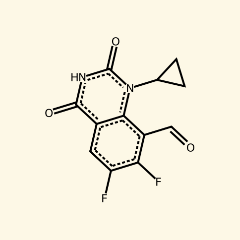 O=Cc1c(F)c(F)cc2c(=O)[nH]c(=O)n(C3CC3)c12